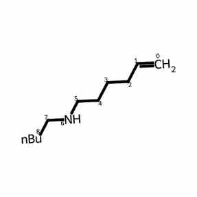 C=CCCCCNCCCCC